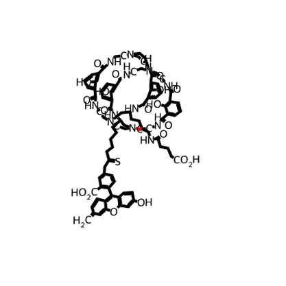 C=c1ccc2c(c1)Oc1cc(O)ccc1C=2c1ccc(CC(=S)CCCCCC2CN3CCNC(=O)c4cccc(c4O)C(=O)NCCN(CCNC(=O)c4cccc(c4O)C(=O)N2)CCN2CCNC(=O)c4cccc(c4O)C(=O)NCCN(CC3)CC(CCCCNC(=O)CCCC(=O)O)NC(=O)c3cccc(c3O)C(=O)NCC2)cc1C(=O)O